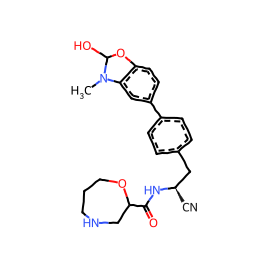 CN1c2cc(-c3ccc(C[C@@H](C#N)NC(=O)C4CNCCCO4)cc3)ccc2OC1O